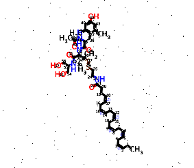 CC/C=C\C/C=C\C/C=C\C/C=C\C/C=C\C/C=C\CCC(=O)NCCSSC(C)(C)[C@H](NC(=O)[C@H](Cc1c(C)cc(O)cc1C)NC(C)=O)C(=O)NC(CO)CO